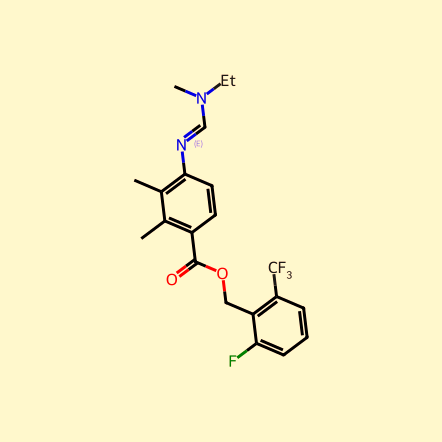 CCN(C)/C=N/c1ccc(C(=O)OCc2c(F)cccc2C(F)(F)F)c(C)c1C